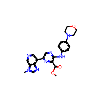 COC(=O)c1nc(-c2cncc3c2ncn3C)cnc1Nc1ccc(N2CCOCC2)cc1